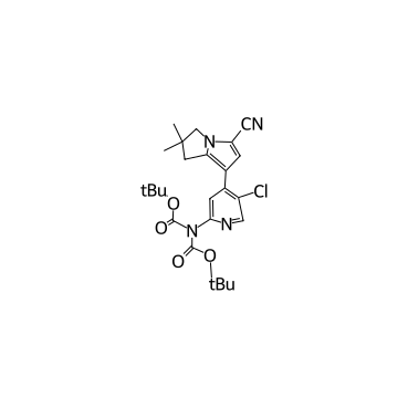 CC1(C)Cc2c(-c3cc(N(C(=O)OC(C)(C)C)C(=O)OC(C)(C)C)ncc3Cl)cc(C#N)n2C1